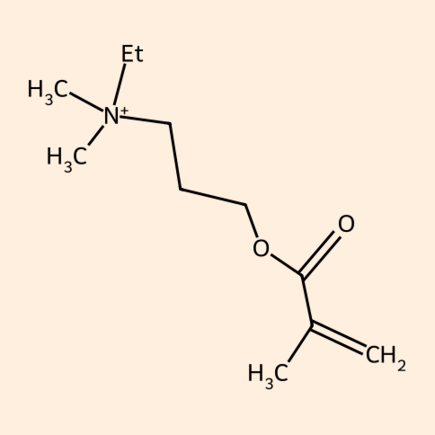 C=C(C)C(=O)OCCC[N+](C)(C)CC